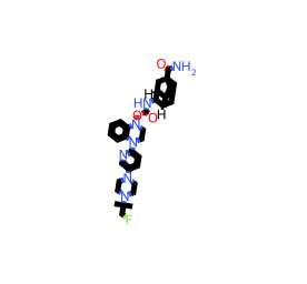 CC(C)(CF)N1CCN(c2ccc(N3CCN(OC(=O)NC4[C@@H]5CC6C[C@H]4CC(C(N)=O)(C6)C5)c4ccccc43)nc2)CC1